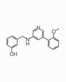 COc1ccccc1-c1cncc(NCc2cccc(O)c2)c1